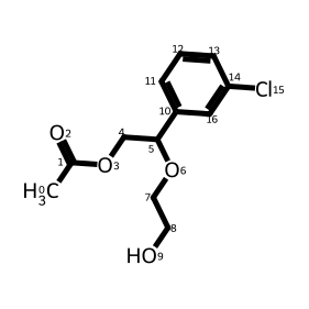 CC(=O)OCC(OCCO)c1cccc(Cl)c1